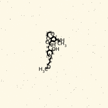 CNc1cc2c(c(C(=O)NC[C@@H]3CCN(CCCCOC)C[C@H]3O)c1)OCCCO2